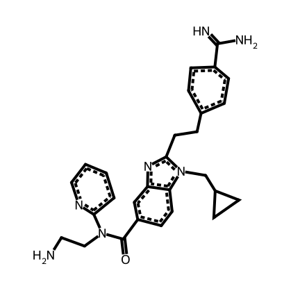 N=C(N)c1ccc(CCc2nc3cc(C(=O)N(CCN)c4ccccn4)ccc3n2CC2CC2)cc1